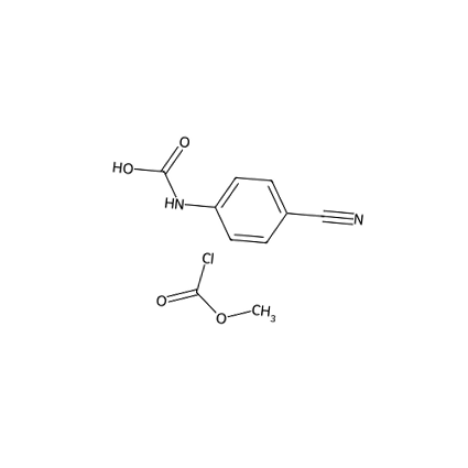 COC(=O)Cl.N#Cc1ccc(NC(=O)O)cc1